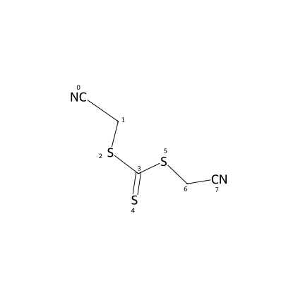 N#CCSC(=S)SCC#N